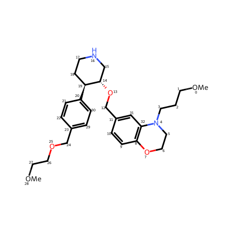 COCCCN1CCOc2ccc(CO[C@H]3CNCC[C@@H]3c3ccc(COCCOC)cc3)cc21